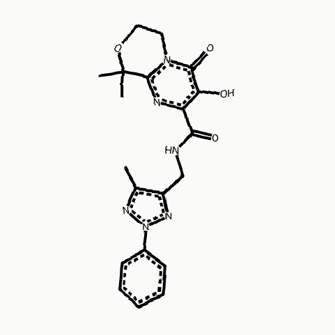 Cc1nn(-c2ccccc2)nc1CNC(=O)c1nc2n(c(=O)c1O)CCOC2(C)C